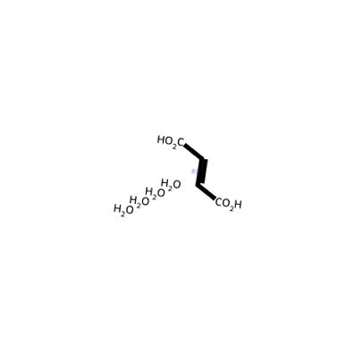 O.O.O.O.O=C(O)/C=C/C(=O)O